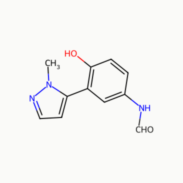 Cn1nccc1-c1cc(NC=O)ccc1O